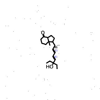 CCC(O)(/C=C/C=C/[C@@H](C)C1CCC2C(=O)CCCC21C)CC